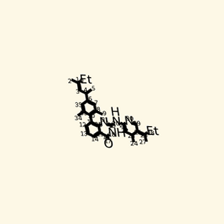 CC/C(C)=C\C(C)c1cc(C)c(-c2cccc3c(=O)[nH]c(NC4=CC(C)/C(=C(\C)CC)C=N4)nc23)c(C)c1